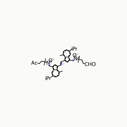 CC(=O)CCC(C)(C)/[N+]([O-])=C/c1cc(/C=C/c2cc(/C=[N+](\[O-])C(C)(C)CCC=O)c3cc(C(C)C)ccc(C)c2-3)c2c(C)ccc(C(C)C)cc1-2